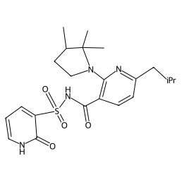 CC(C)Cc1ccc(C(=O)NS(=O)(=O)c2ccc[nH]c2=O)c(N2CCC(C)C2(C)C)n1